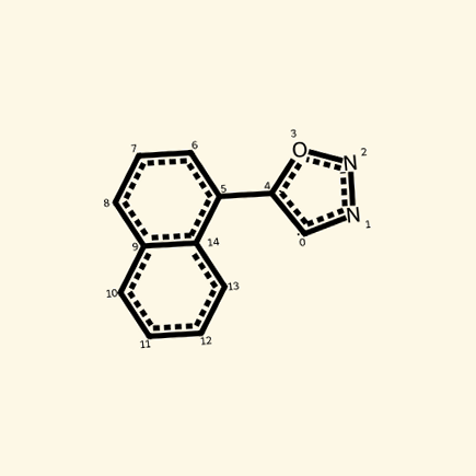 [c]1nnoc1-c1cccc2ccccc12